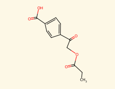 CCC(=O)OCC(=O)c1ccc(C(=O)O)cc1